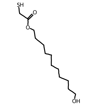 O=C(CS)OCCCCCCCCCCCO